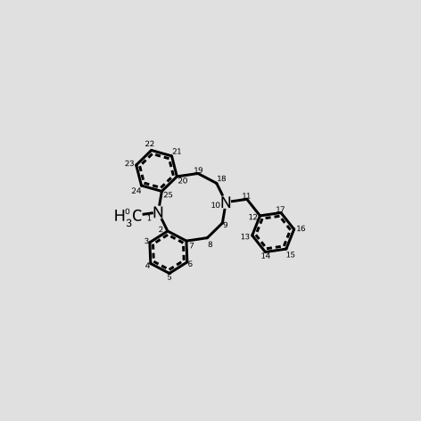 CN1c2ccccc2CCN(Cc2ccccc2)CCc2ccccc21